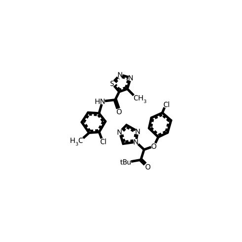 CC(C)(C)C(=O)C(Oc1ccc(Cl)cc1)n1cncn1.Cc1ccc(NC(=O)c2snnc2C)cc1Cl